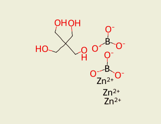 OCC(CO)(CO)CO.[O-]B([O-])[O-].[O-]B([O-])[O-].[Zn+2].[Zn+2].[Zn+2]